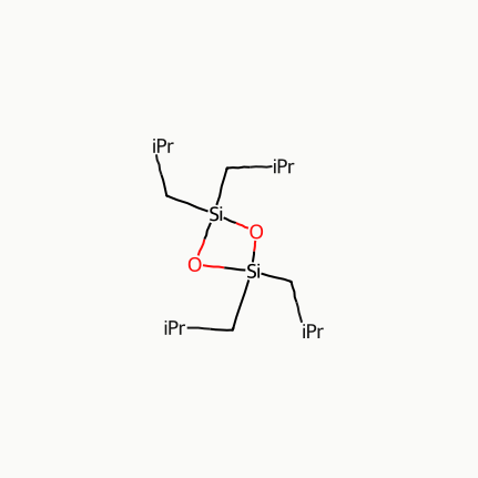 CC(C)C[Si]1(CC(C)C)O[Si](CC(C)C)(CC(C)C)O1